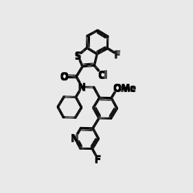 COc1ccc(-c2cncc(F)c2)cc1CN(C(=O)c1sc2cccc(F)c2c1Cl)C1CCCCC1